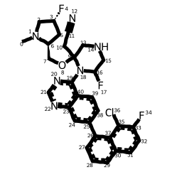 CN1C[C@H](F)C[C@H]1COC1(CC#N)CNCC(F)N1c1ncnc2cc(-c3cccc4ccc(F)c(Cl)c34)ccc12